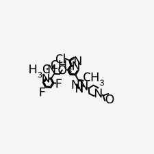 Cc1c(-c2cc(OCC(c3ncc(F)cc3F)N(C)C)c3c(Cl)cnn3c2)nnn1C1CCN(C2COC2)CC1